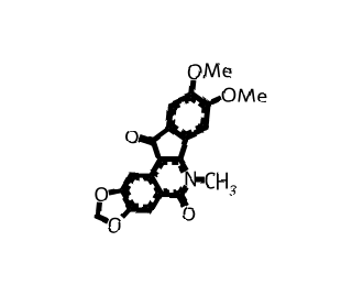 COc1cc2c(cc1OC)-c1c(c3cc4c(cc3c(=O)n1C)OCO4)C2=O